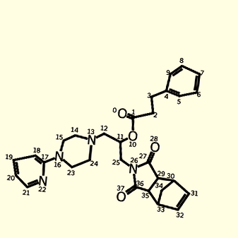 O=C(CCc1ccccc1)OC(CN1CCN(c2ccccn2)CC1)CN1C(=O)C2C3C=CC(C3)C2C1=O